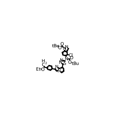 C=C(OCC)c1ccc(-c2cn3cccc(-c4nnc(N(C(=O)OC(C)(C)C)c5ccc6c(cnn6C(=O)OC(C)(C)C)c5Cl)s4)c3n2)cc1